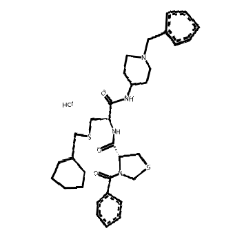 Cl.O=C(NC1CCN(Cc2ccccc2)CC1)[C@H](CSCC1CCCCC1)NC(=O)[C@@H]1CSCN1C(=O)c1ccccc1